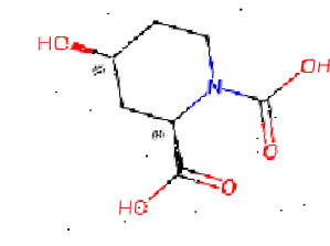 O=C(O)[C@H]1C[C@@H](O)CCN1C(=O)O